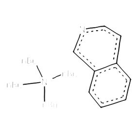 CCCC[N+](CCCC)(CCCC)CCCC.c1ccc2cnccc2c1